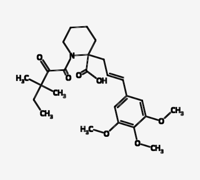 CCC(C)(C)C(=O)C(=O)N1CCCCC1(C/C=C/c1cc(OC)c(OC)c(OC)c1)C(=O)O